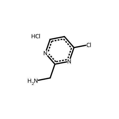 Cl.NCc1nccc(Cl)n1